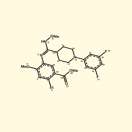 CCc1nc(OC)c(N=C(NOC)N2CCN(c3cc(F)cc(F)c3)CC2)cc1C(=O)OC